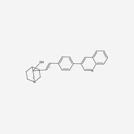 OC1(/C=C/c2ccc(-c3cnc4ccccc4c3)cc2)CN2CCC1CC2